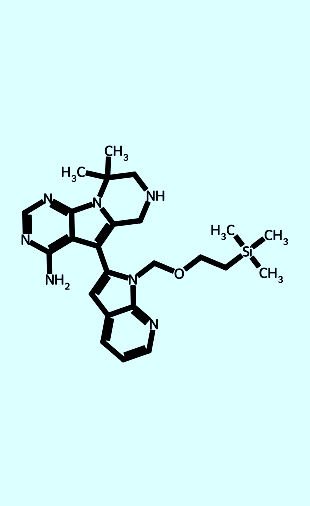 CC1(C)CNCc2c(-c3cc4cccnc4n3COCC[Si](C)(C)C)c3c(N)ncnc3n21